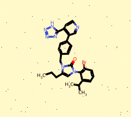 CCCc1cn(-c2c(Br)cccc2C(C)C)c(=O)n1Cc1ccc(-c2cnccc2-c2nnn[nH]2)cc1